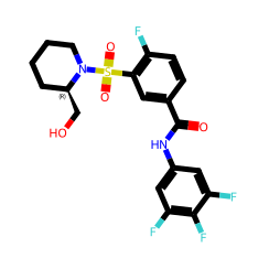 O=C(Nc1cc(F)c(F)c(F)c1)c1ccc(F)c(S(=O)(=O)N2CCCC[C@@H]2CO)c1